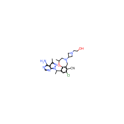 Cc1nn(C(C)c2cc(Cl)c(C#N)c3c2OC(C)CN(C2CN(CCO)C2)C3)c2ncnc(N)c12